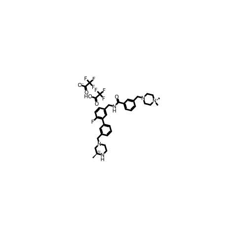 C[C@H]1CN(Cc2cccc(-c3cc(CNC(=O)c4cccc(CN5CC[N+](C)(C)CC5)c4)ccc3F)c2)CCN1.O=C(O)C(F)(F)F.O=C([O-])C(F)(F)F